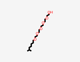 CC(C)CCCCCOCCOCCOCCOCCOCCO